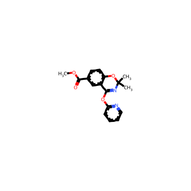 COC(=O)c1ccc2c(c1)C(Oc1ccccn1)=NC(C)(C)O2